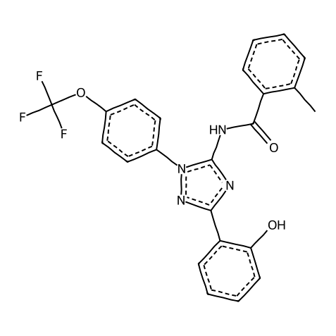 Cc1ccccc1C(=O)Nc1nc(-c2ccccc2O)nn1-c1ccc(OC(F)(F)F)cc1